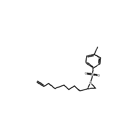 C=CCCCCCCC1CN1S(=O)(=O)c1ccc(C)cc1